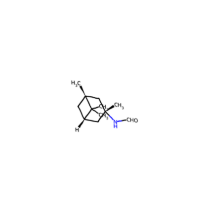 CC1(C)[C@@H]2C[C@@](C)(NC=O)C[C@@]1(C)C2